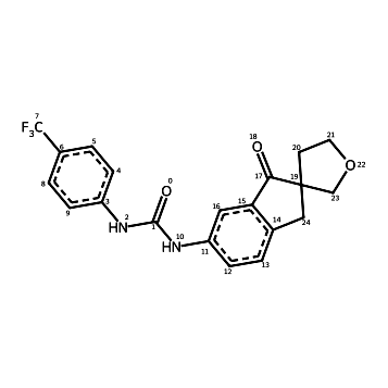 O=C(Nc1ccc(C(F)(F)F)cc1)Nc1ccc2c(c1)C(=O)C1(CCOC1)C2